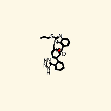 CCCSc1nc2cccc(C(=O)O)c2n1Cc1ccc(-c2ccccc2-c2nnn[nH]2)cc1